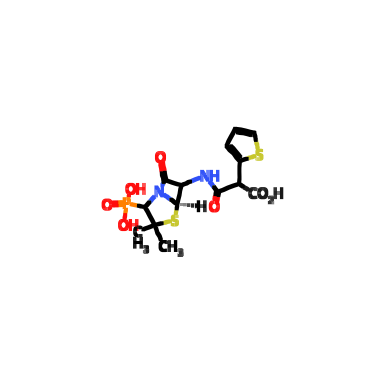 CC1(C)S[C@@H]2C(NC(=O)C(C(=O)O)c3cccs3)C(=O)N2C1P(=O)(O)O